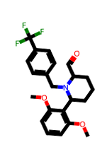 COc1cccc(OC)c1C1CCCC(C=O)N1Cc1ccc(C(F)(F)F)cc1